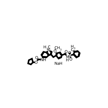 COc1cc(C(=O)NS(=O)(=O)c2ccccc2C)ccc1Cc1cn(C)c2ccc(NC(=O)OC3CCCC3)cc12.[NaH]